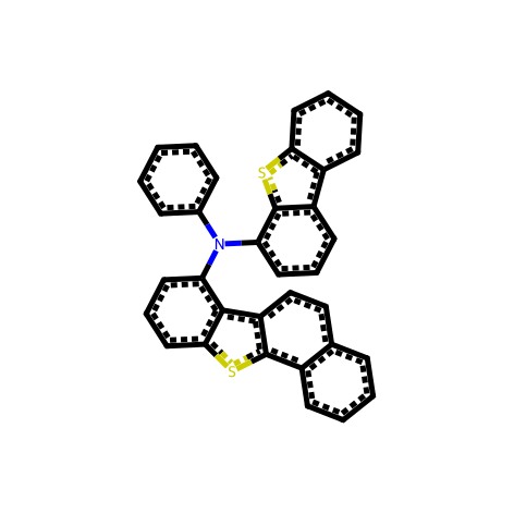 c1ccc(N(c2cccc3c2sc2ccccc23)c2cccc3sc4c5ccccc5ccc4c23)cc1